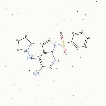 Nc1cnc2c(ccn2S(=O)(=O)c2ccccc2)c1NN1CCCC1